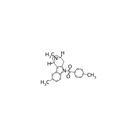 Cc1ccc(S(=O)(=O)n2c3c(c4cc(C)ccc42)[C@@H]2CC[C@H](C3)N2C)cc1